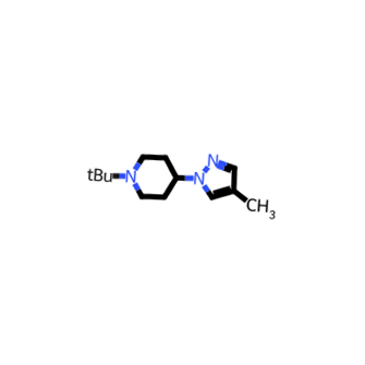 Cc1cnn(C2CCN(C(C)(C)C)CC2)c1